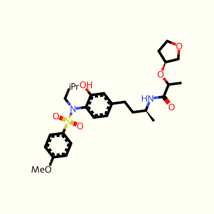 COc1ccc(S(=O)(=O)N(CC(C)C)c2ccc(CC[C@H](C)NC(=O)C(C)O[C@H]3CCOC3)cc2O)cc1